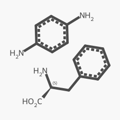 N[C@@H](Cc1ccccc1)C(=O)O.Nc1ccc(N)cc1